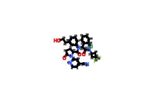 N#Cc1ccnc(N2C(=O)CCC2C(=O)N(c2cccc(CCO)c2)C(C(=O)NC2CC(F)(F)C2)c2ccccc2Cl)c1